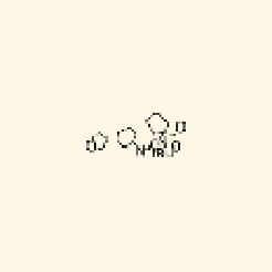 C1CCOC1.CC(C)(C)OC(=O)C1(N=C=NC2CCCCC2)CCCCC1